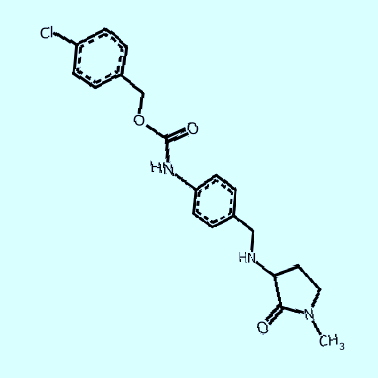 CN1CCC(NCc2ccc(NC(=O)OCc3ccc(Cl)cc3)cc2)C1=O